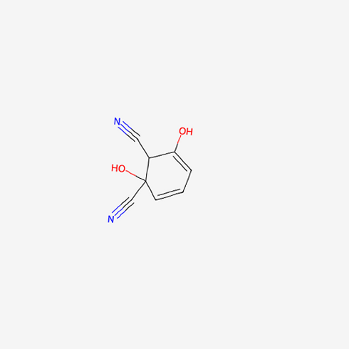 N#CC1C(O)=CC=CC1(O)C#N